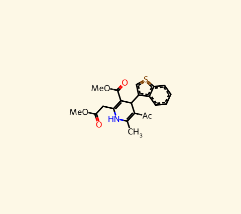 COC(=O)CC1=C(C(=O)OC)C(c2csc3ccccc23)C(C(C)=O)=C(C)N1